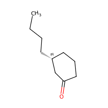 CCCC[C@@H]1CCCC(=O)C1